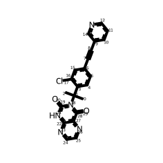 CC(C)(c1ccc(C#Cc2cccnc2)cc1Cl)n1c(=O)[nH]c2nccnc2c1=O